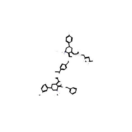 COc1ccc(C2C/C(=N\O)c3c(SCc4ccc(C(C)OC(=O)c5sc(SCc6ccccc6)c6c5CC(c5cccc(OC)c5)C/C6=N\O)cc4)sc(C(=O)NCc4cc(C)no4)c3C2)cc1